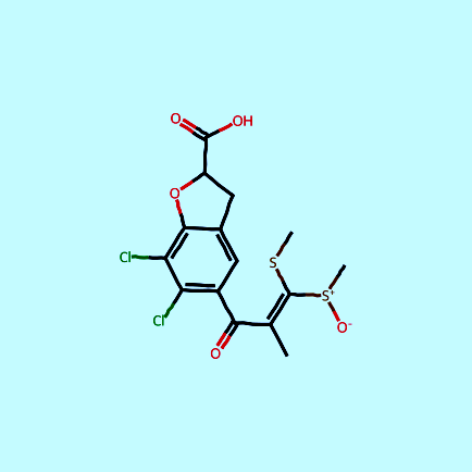 CSC(=C(C)C(=O)c1cc2c(c(Cl)c1Cl)OC(C(=O)O)C2)[S+](C)[O-]